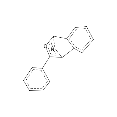 c1ccc(-c2oc3nc2-c2ccccc2-3)cc1